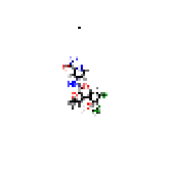 C[C@H]1[C@H](c2ccc(F)c(F)c2OC(F)F)[C@@H](C(=O)Nc2ccnc(C(N)=O)c2)O[C@]1(C)C(F)(F)F